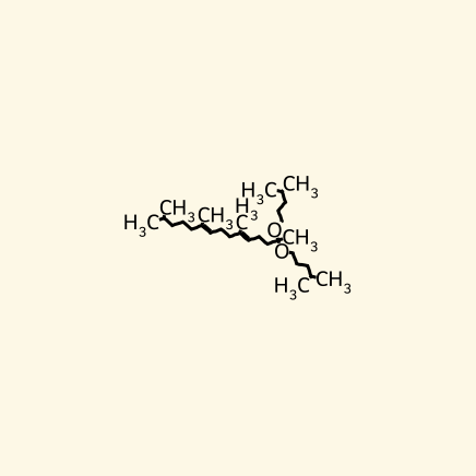 C/C(=C\CCC(C)(OCCCC(C)C)OCCCC(C)C)CC/C=C(\C)CCCC(C)C